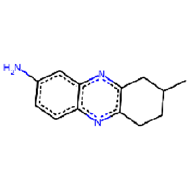 CC1CCc2nc3ccc(N)cc3nc2C1